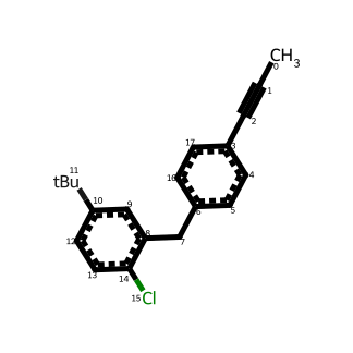 CC#Cc1ccc(Cc2cc(C(C)(C)C)ccc2Cl)cc1